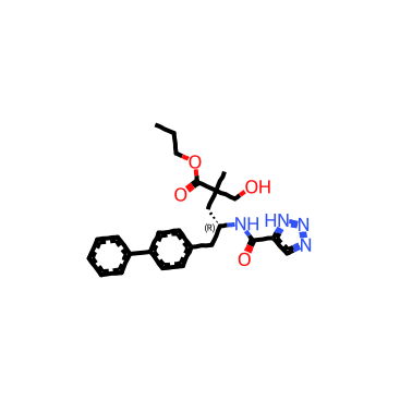 CCCOC(=O)C(C)(CO)C[C@@H](Cc1ccc(-c2ccccc2)cc1)NC(=O)c1cnn[nH]1